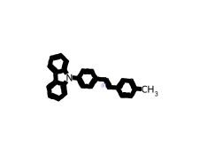 Cc1ccc(/C=C/c2ccc(-n3c4ccccc4c4ccccc43)cc2)cc1